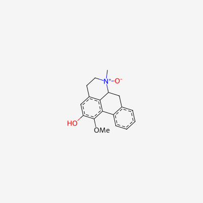 COc1c(O)cc2c3c1-c1ccccc1CC3[N+](C)([O-])CC2